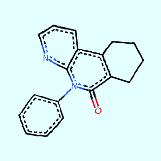 O=c1c2c(c3cccnc3n1-c1ccccc1)CCCC2